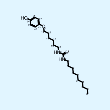 CCCCCCCCCCNC(=O)NCCCCCCOc1ccc(O)cc1